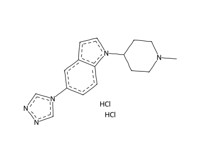 CN1CCC(n2ccc3cc(-n4cnnc4)ccc32)CC1.Cl.Cl